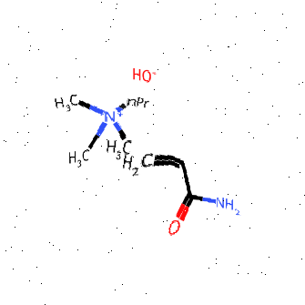 C=CC(N)=O.CCC[N+](C)(C)C.[OH-]